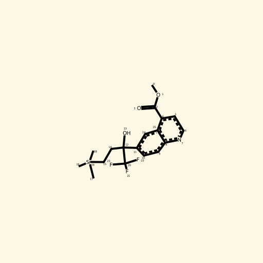 COC(=O)c1ccnc2ccc(C(O)(CC[Si](C)(C)C)C(F)(F)F)cc12